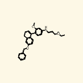 CCOCCCNc1ccc(C2=CCCc3cc(OCc4ccccc4)ccc32)c(OC)c1